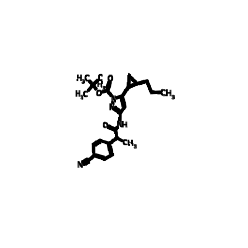 CCCC1CC1c1cc(NC(=O)C(C)c2ccc(C#N)cc2)nn1C(=O)OC(C)(C)C